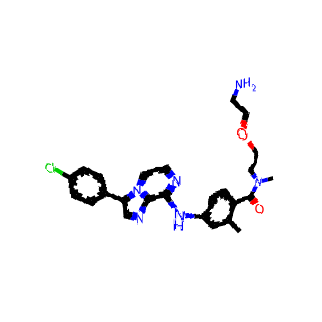 Cc1cc(Nc2nccn3c(-c4ccc(Cl)cc4)cnc23)ccc1C(=O)N(C)CCOCCN